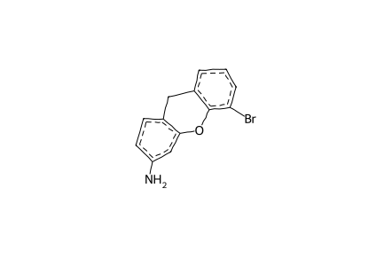 Nc1ccc2c(c1)Oc1c(Br)cccc1C2